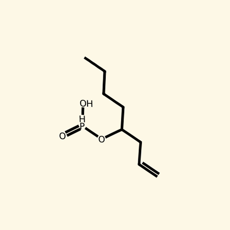 C=CCC(CCCC)O[PH](=O)O